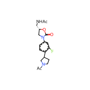 CC(=O)NC[C@H]1CN(c2ccc(C3CCN(C(C)=O)C3)c(F)c2)C(=O)O1